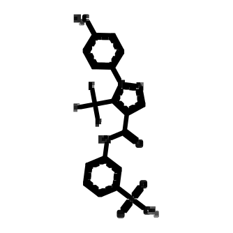 Cc1ccc(-n2ncc(C(=O)Nc3cccc(S(C)(=O)=O)c3)c2C(F)(F)F)cc1